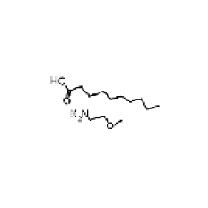 CCCCCCCCCC(=O)O.COCCN